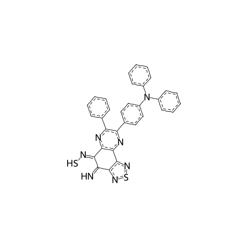 N=C1/C(=N\S)c2nc(-c3ccccc3)c(-c3ccc(N(c4ccccc4)c4ccccc4)cc3)nc2-c2nsnc21